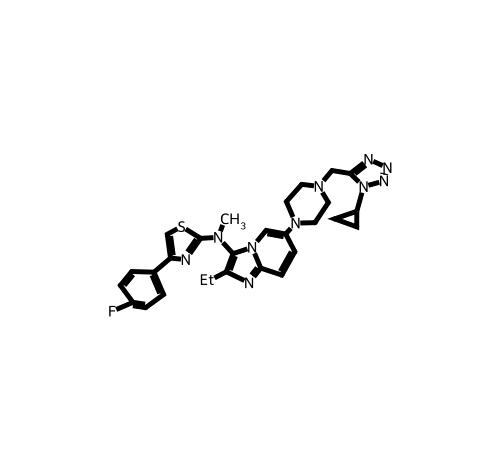 CCc1nc2ccc(N3CCN(Cc4nnnn4C4CC4)CC3)cn2c1N(C)c1nc(-c2ccc(F)cc2)cs1